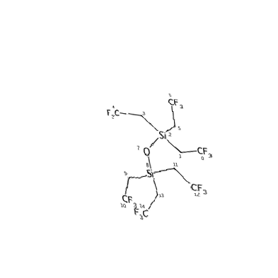 FC(F)(F)C[Si](CC(F)(F)F)(CC(F)(F)F)O[Si](CC(F)(F)F)(CC(F)(F)F)CC(F)(F)F